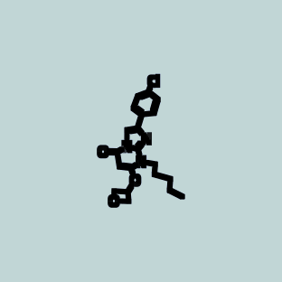 CCCCCn1c(OC2COC2)cc(=O)n2cc(-c3ccc(Cl)cc3)nc12